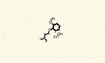 CC(C)Oc1ccccc1SCCN(C)C.CCO